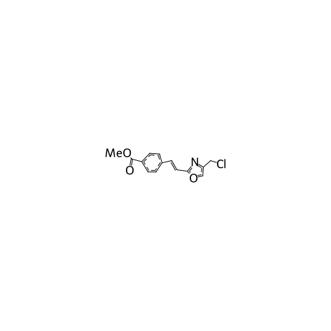 COC(=O)c1ccc(C=Cc2nc(CCl)co2)cc1